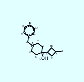 CC1CC(C2(O)CCN(Cc3ccccc3)CC2)C1